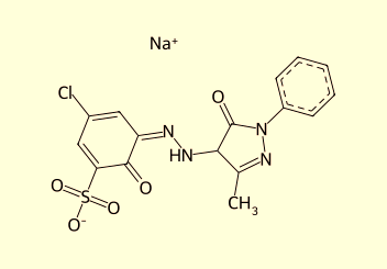 CC1=NN(c2ccccc2)C(=O)C1N/N=C1/C=C(Cl)C=C(S(=O)(=O)[O-])C1=O.[Na+]